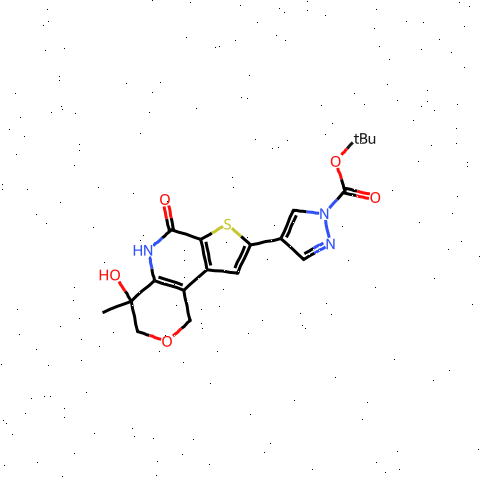 CC(C)(C)OC(=O)n1cc(-c2cc3c4c([nH]c(=O)c3s2)C(C)(O)COC4)cn1